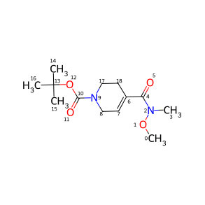 CON(C)C(=O)C1=CCN(C(=O)OC(C)(C)C)CC1